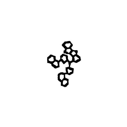 c1cc(-c2cccc3ccccc23)cc(N(c2cccc(-c3cccc4ccccc34)c2)c2cccc3oc4c5ccccc5ncc4c23)c1